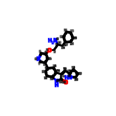 N[C@H](COc1cncc(-c2ccc3c(c2)C(=Cc2ccc[nH]2)C(=O)N3)c1)Cc1ccccc1